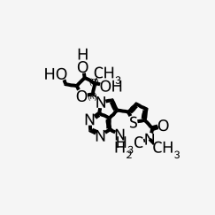 CN(C)C(=O)c1ccc(-c2cn([C@@H]3OC(CO)C(O)[C@@]3(C)O)c3ncnc(N)c23)s1